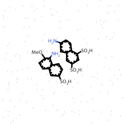 COc1ccc2cc(S(=O)(=O)O)ccc2c1N.Nc1ccc2c(S(=O)(=O)O)cc(S(=O)(=O)O)cc2c1